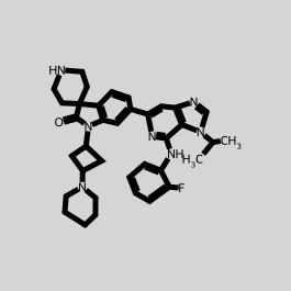 CC(C)n1cnc2cc(-c3ccc4c(c3)N(C3CC(N5CCCCC5)C3)C(=O)C43CCNCC3)nc(Nc3ccccc3F)c21